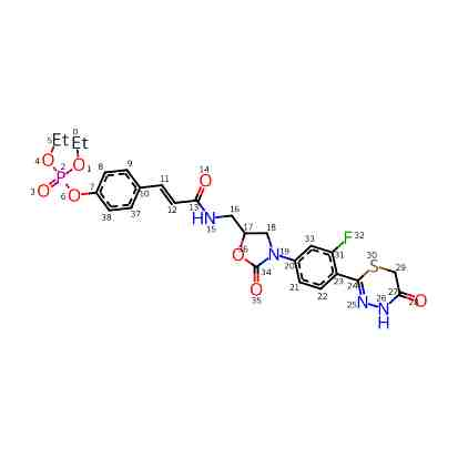 CCOP(=O)(OCC)Oc1ccc(/C=C/C(=O)NCC2CN(c3ccc(C4=NNC(=O)CS4)c(F)c3)C(=O)O2)cc1